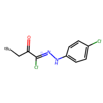 CC(C)(C)CC(=O)/C(Cl)=N/Nc1ccc(Cl)cc1